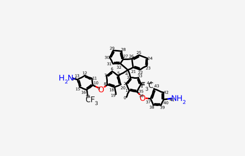 Cc1cc(C2(c3ccc(Oc4ccc(N)cc4C(F)(F)F)c(C)c3)c3ccccc3-c3ccccc32)ccc1Oc1ccc(N)cc1C(F)(F)F